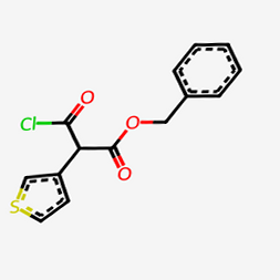 O=C(Cl)C(C(=O)OCc1ccccc1)c1ccsc1